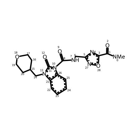 CNC(=O)c1nc(CNC(=O)n2c(=O)n(CC3CCOCC3)c3ccccc32)no1